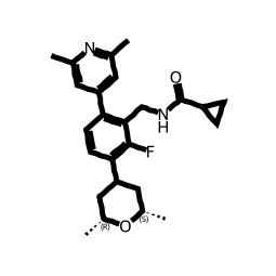 Cc1cc(-c2ccc(C3C[C@@H](C)O[C@@H](C)C3)c(F)c2CNC(=O)C2CC2)cc(C)n1